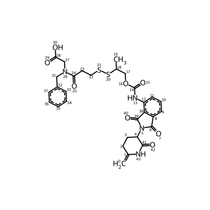 C=C1CCC(N2C(=O)c3cccc(NC(=O)OCC(C)SSCCC(=O)N(CC(=O)O)Cc4ccccc4)c3C2=O)C(=O)N1